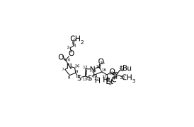 C=CCOC(=O)N1CCC(SC2=CN3C(=O)[C@@H]([C@H](CC)O[Si](C)(C)C(C)(C)C)[C@H]3S2)C1